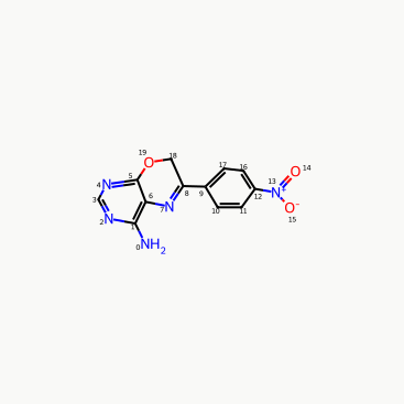 Nc1ncnc2c1N=C(c1ccc([N+](=O)[O-])cc1)CO2